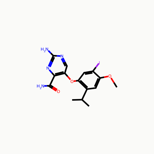 COc1cc(C(C)C)c(Oc2cnc(N)nc2C(N)=O)cc1I